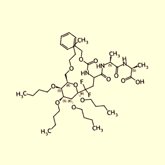 CCCCOC[C@H]1O[C@@](OCCCC)(C(F)(F)CC(NC(=O)OCc2ccccc2)C(=O)N[C@@H](C)C(=O)N[C@@H](C)C(=O)O)[C@H](OCCCC)[C@@H](OCCCC)[C@H]1OCCCC